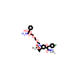 CNC(=O)c1c(-c2ccc(F)cc2)oc2cc(N(CCOCCOCCOC(O)(C(N)=O)c3ccccc3)S(C)(=O)=O)c(C3CC3)cc12